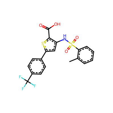 Cc1ccccc1S(=O)(=O)Nc1cc(-c2ccc(C(F)(F)F)cc2)sc1C(=O)O